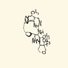 Cc1nn2c3nc(ncc13)Nc1c(nn([C@@H]3CCOC[C@@]3(C)F)c1C)OCCC2